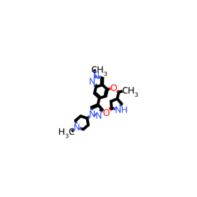 CC(Oc1cc(-c2cnn(C3CCN(C)CC3)c2)cc2nn(C)cc12)C1CNC(=O)C1